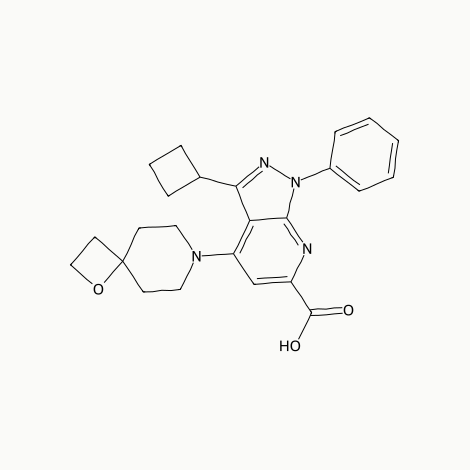 O=C(O)c1cc(N2CCC3(CCO3)CC2)c2c(C3CCC3)nn(-c3ccccc3)c2n1